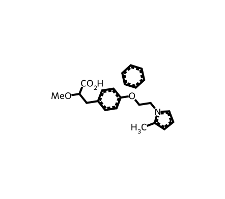 COC(Cc1ccc(OCCn2cccc2C)cc1)C(=O)O.c1ccccc1